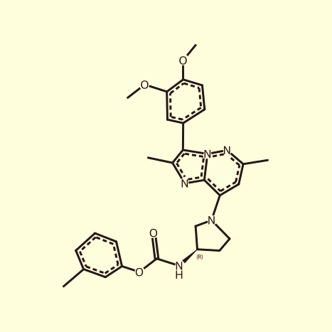 COc1ccc(-c2c(C)nc3c(N4CC[C@@H](NC(=O)Oc5cccc(C)c5)C4)cc(C)nn23)cc1OC